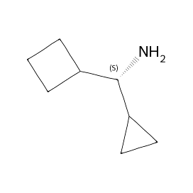 N[C@@H](C1CCC1)C1CC1